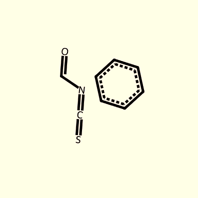 O=CN=C=S.c1ccccc1